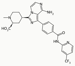 CN1CC[C@@H](c2nc(-c3ccc(C(=O)Nc4cc(C(F)(F)F)ccn4)cc3)c3c(N)nccn23)C[C@H]1C(=O)O